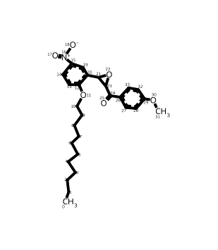 CCCCCCCCCCCOc1ccc([N+](=O)[O-])cc1C1OC1C(=O)c1ccc(OC)cc1